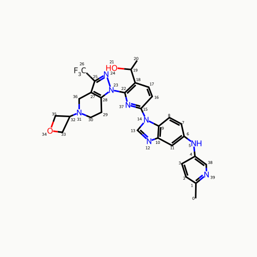 Cc1ccc(Nc2ccc3c(c2)ncn3-c2ccc(C(C)O)c(-n3nc(C(F)(F)F)c4c3CCN(C3COC3)C4)n2)cn1